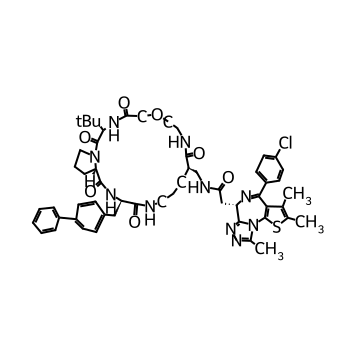 Cc1sc2c(c1C)C(c1ccc(Cl)cc1)=N[C@@H](CC(=O)NC[C@H]1CCCNC(=O)[C@@H](Cc3ccc(-c4ccccc4)cc3)NC(=O)[C@@H]3CCCN3C(=O)C(C(C)(C)C)NC(=O)COCCNC1=O)c1nnc(C)n1-2